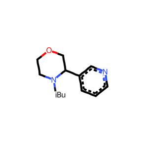 CCC(C)N1CCOCC1c1cccnc1